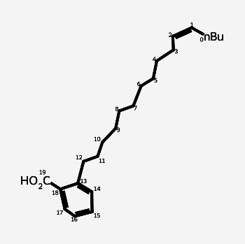 CCCC/C=C\CCCCCCCCCCc1ccccc1C(=O)O